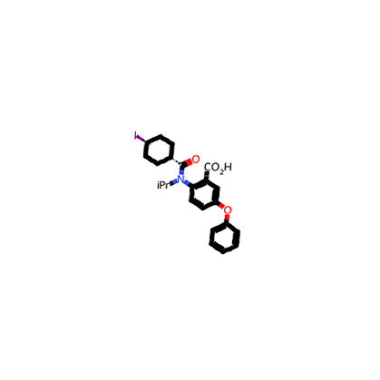 CC(C)N(c1ccc(Oc2ccccc2)cc1C(=O)O)C(=O)[C@H]1CC[C@H](I)CC1